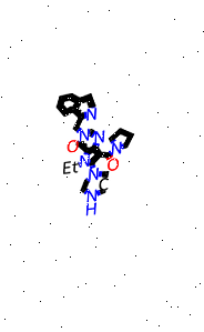 CCn1c(N2CCCNCC2)c(C(=O)N2CCCC2)c2ncn(Cc3nccc4ccccc34)c(=O)c21